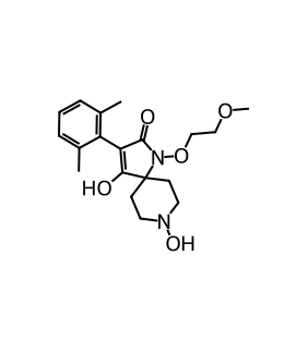 COCCON1C(=O)C(c2c(C)cccc2C)=C(O)C12CCN(O)CC2